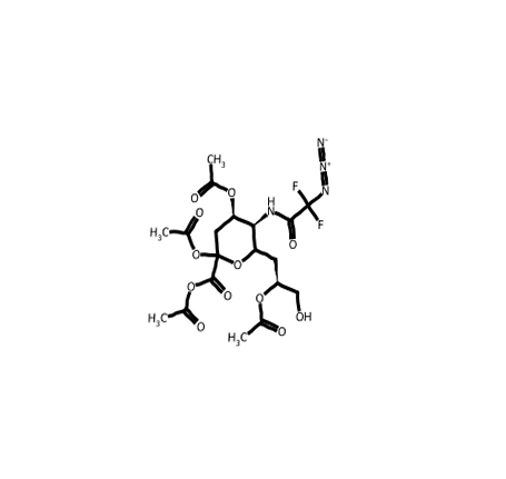 CC(=O)OC(=O)C1(OC(C)=O)C[C@@H](OC(C)=O)[C@@H](NC(=O)C(F)(F)N=[N+]=[N-])C(C[C@@H](CO)OC(C)=O)O1